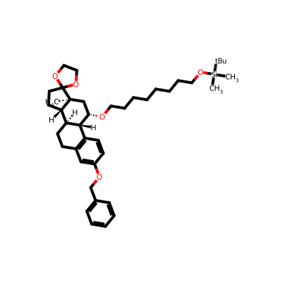 CC(C)(C)[Si](C)(C)OCCCCCCCCO[C@H]1C[C@@]2(C)[C@@H](CCC23OCCO3)[C@@H]2CCc3cc(OCc4ccccc4)ccc3[C@H]21